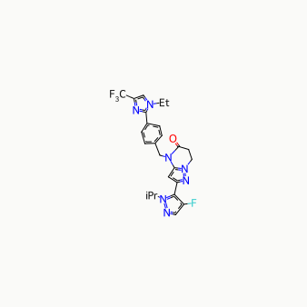 CCn1cc(C(F)(F)F)nc1-c1ccc(CN2C(=O)CCn3nc(-c4c(F)cnn4C(C)C)cc32)cc1